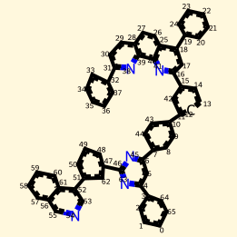 c1ccc(-c2cc(-c3ccc(-c4cccc(-c5cc(-c6ccccc6)c6ccc7ccc(-c8ccccc8)nc7c6n5)c4)cc3)nc(-c3cccc(-c4cncc5ccccc45)c3)n2)cc1